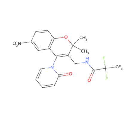 CC1(C)Oc2ccc([N+](=O)[O-])cc2C(n2ccccc2=O)=C1CNC(=O)C(F)(F)C(F)(F)F